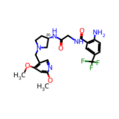 COc1cc(OC)c(CN2CC[C@@H](NC(=O)CNC(=O)c3cc(C(F)(F)F)ccc3N)C2)cn1